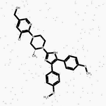 COc1ccc(-c2nc(N3CCN(c4ncc(CO)cc4Cl)C[C@H]3C)[nH]c2-c2ccc(OC)cc2)cc1